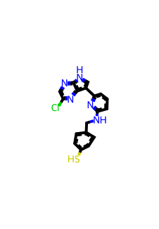 Sc1ccc(CNc2cccc(-c3c[nH]c4ncc(Cl)nc34)n2)cc1